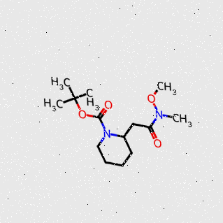 CON(C)C(=O)CC1CCCCN1C(=O)OC(C)(C)C